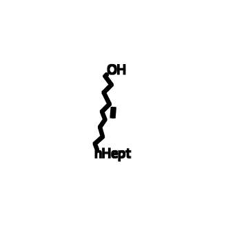 C=C.CCCCCCCCCCCCCCCCO